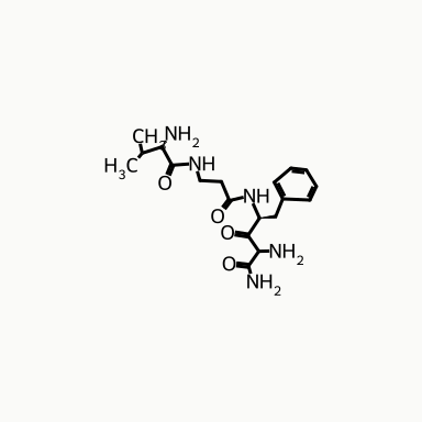 CC(C)[C@H](N)C(=O)NCCC(=O)N[C@@H](Cc1ccccc1)C(=O)C(N)C(N)=O